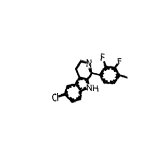 Cc1ccc(C2=NCCc3c2[nH]c2ccc(Cl)cc32)c(F)c1F